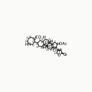 CC(=O)O[C@H]1C[C@]2(O)[C@@H]3CCC4CC(C5CNCCCN5C(=O)O)CC[C@]4(C)[C@H]3CC[C@]2(C)[C@H]1C1=CC(=O)OC1